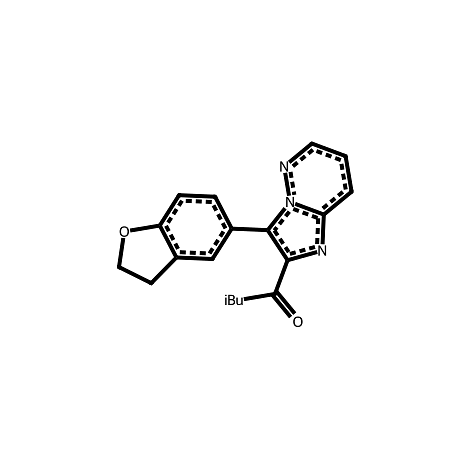 CCC(C)C(=O)c1nc2cccnn2c1-c1ccc2c(c1)CCO2